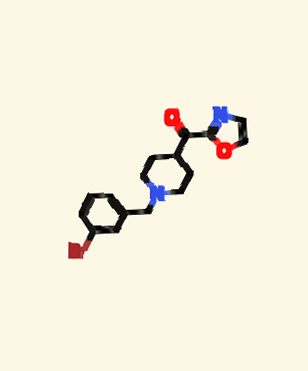 O=C(c1ncco1)C1CCN(Cc2cccc(Br)c2)CC1